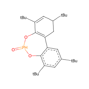 CC(C)(C)C1=CC(C(C)(C)C)CC2=C1O[PH](=O)Oc1c2cc(C(C)(C)C)cc1C(C)(C)C